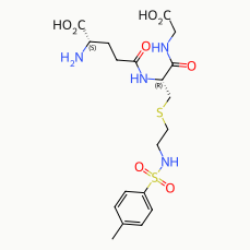 Cc1ccc(S(=O)(=O)NCCSC[C@H](NC(=O)CC[C@H](N)C(=O)O)C(=O)NCC(=O)O)cc1